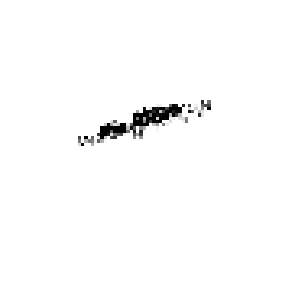 COc1cccc(S(=O)(=O)N2CCN(CCN[C@]34CCCC3[C@H]3CCC5[C@@](C)(CCC6C(C)(C)C(c7ccc(C(=O)O)cc7)=CC[C@@]65C)C3CC4)CC2)c1